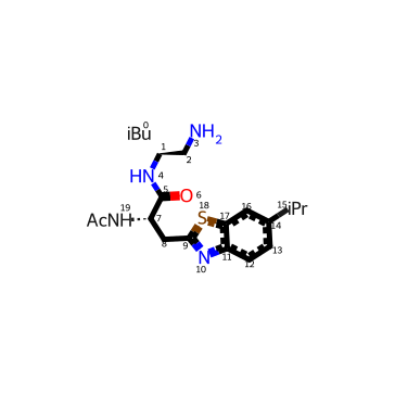 CC[C@H](C)[C@@H](CN)NC(=O)[C@H](Cc1nc2ccc(C(C)C)cc2s1)NC(C)=O